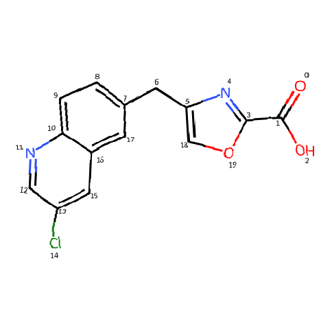 O=C(O)c1nc(Cc2ccc3ncc(Cl)cc3c2)co1